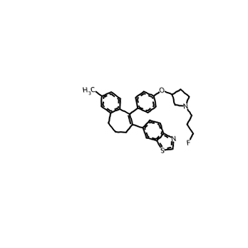 Cc1ccc2c(c1)CCCC(c1ccc3ncsc3c1)=C2c1ccc(OC2CCN(CCCF)C2)cc1